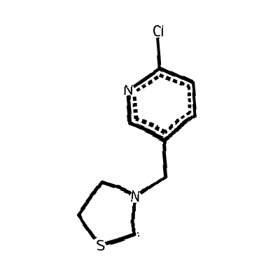 Clc1ccc(CN2[C]SCC2)cn1